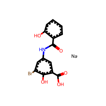 O=C(Nc1cc(Br)c(O)c(C(=O)O)c1)c1ccccc1O.[Na]